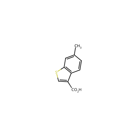 Cc1ccc2c(C(=O)O)csc2c1